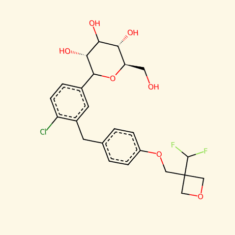 OC[C@H]1OC(c2ccc(Cl)c(Cc3ccc(OCC4(C(F)F)COC4)cc3)c2)[C@H](O)C(O)[C@@H]1O